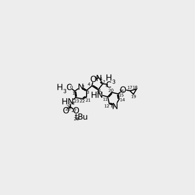 Cc1nc(-c2onc(C)c2Nc2cncc(OC3CC3)c2)ccc1NC(=O)OC(C)(C)C